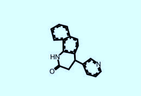 O=C1CC(c2cccnc2)c2ccc3ccccc3c2N1